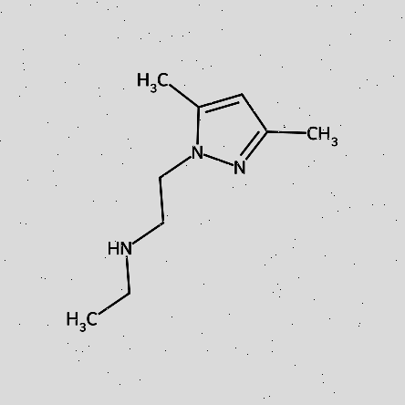 CCNCCn1nc(C)cc1C